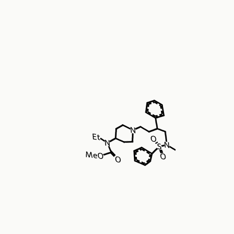 CCN(C(=O)OC)C1CCN(CCC(CN(C)S(=O)(=O)c2ccccc2)c2ccccc2)CC1